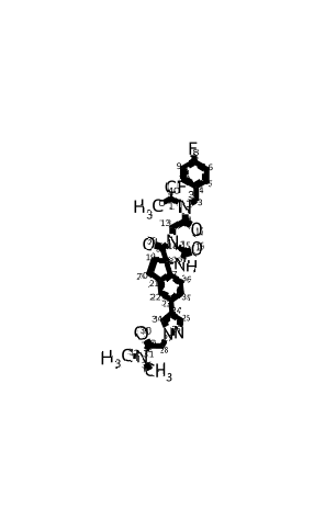 C[C@H](N(Cc1ccc(F)cc1)C(=O)CN1C(=O)N[C@]2(C=Cc3cc(-c4cnn(CC(=O)N(C)C)c4)ccc32)C1=O)C(F)(F)F